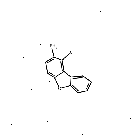 Bc1ccc2oc3ccccc3c2c1Cl